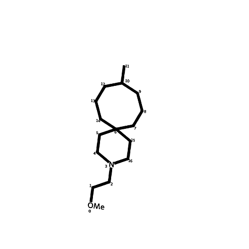 COCCN1CCC2(CCCC(C)CCC2)CC1